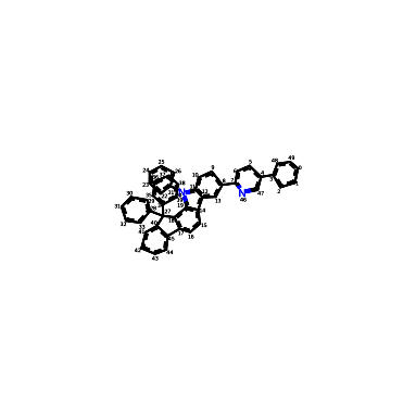 c1ccc(-c2ccc(-c3ccc4c(c3)c3ccc5c(c3n4-c3ccccc3)C(c3ccccc3)(c3ccccc3)c3ccccc3-5)nc2)cc1